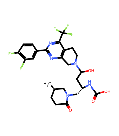 C[C@@H]1CCC(=O)N(C[C@H](CC(O)N2CCc3c(nc(-c4ccc(F)c(F)c4)nc3C(F)(F)F)C2)NC(=O)O)C1